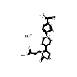 COC(=O)CCN1C(=O)NCC1C1CCN(c2ccc(C(=N)N)cc2)CC1.Cl